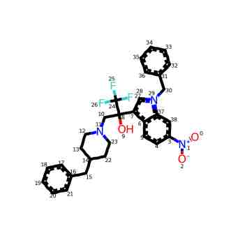 O=[N+]([O-])c1ccc2c(C(O)(CN3CCC(Cc4ccccc4)CC3)C(F)(F)F)cn(Cc3ccccc3)c2c1